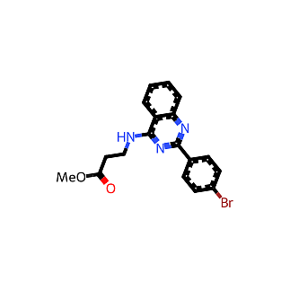 COC(=O)CCNc1nc(-c2ccc(Br)cc2)nc2ccccc12